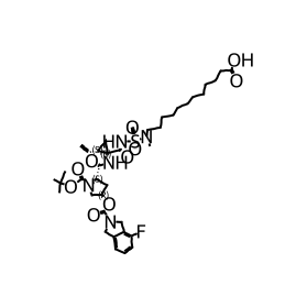 C=C[C@@H]1C[C@]1(NC(=O)[C@@H]1C[C@@H](OC(=O)N2Cc3cccc(F)c3C2)CN1C(=O)OC(C)(C)C)C(=O)NS(=O)(=O)N(C)CCCCCCCCCCCC(=O)O